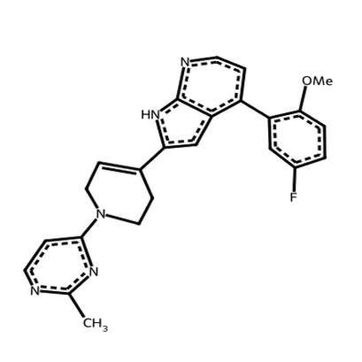 COc1ccc(F)cc1-c1ccnc2[nH]c(C3=CCN(c4ccnc(C)n4)CC3)cc12